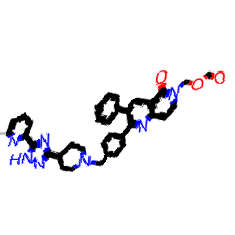 O=COCn1ccc2nc(-c3ccc(CN4CCC(c5n[nH]c(-c6ccccn6)n5)CC4)cc3)c(-c3ccccc3)cc2c1=O